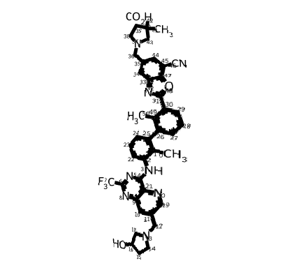 Cc1c(Nc2nc(C(F)(F)F)nc3cc(CN4CCC(O)C4)cnc23)cccc1-c1cccc(-c2nc3cc(CN4CCC(C)(C(=O)O)C4)cc(C#N)c3o2)c1C